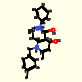 Cc1ccc(Cn2c(C)cc(=O)c(C(=O)Nc3ccccc3)c2CC(C)C)cc1